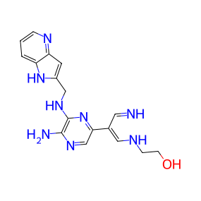 N=C/C(=C\NCCO)c1cnc(N)c(NCc2cc3ncccc3[nH]2)n1